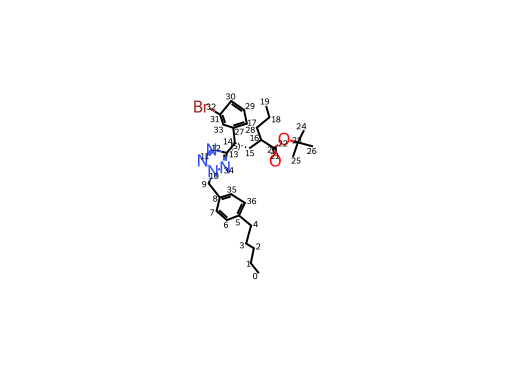 CCCCCc1ccc(Cn2nnc([C@@H](CC(CCC)C(=O)OC(C)(C)C)c3cccc(Br)c3)n2)cc1